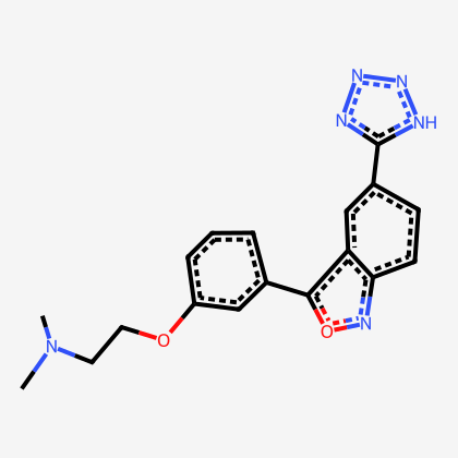 CN(C)CCOc1cccc(-c2onc3ccc(-c4nnn[nH]4)cc23)c1